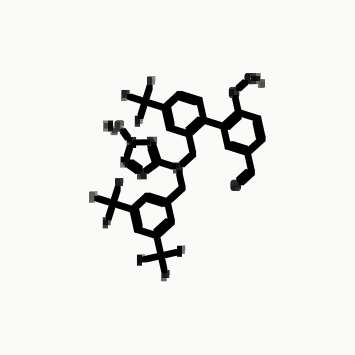 COc1ccc(C=O)cc1-c1ccc(C(F)(F)F)cc1CN(Cc1cc(C(F)(F)F)cc(C(F)(F)F)c1)c1nnn(C)n1